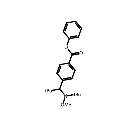 CON(C(c1ccc(C(=O)Oc2ccccc2)cc1)C(C)(C)C)C(C)(C)C